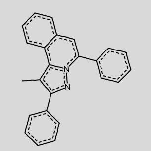 Cc1c(-c2ccccc2)nn2c(-c3ccccc3)cc3ccccc3c12